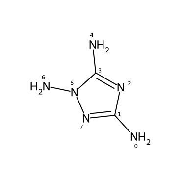 Nc1nc(N)n(N)n1